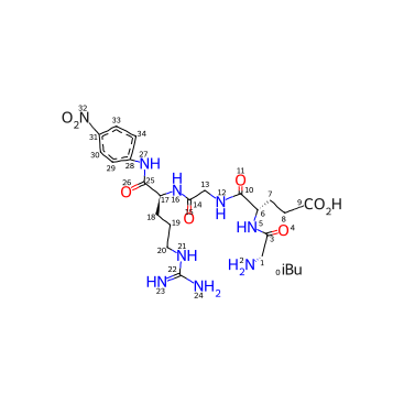 CC[C@H](C)[C@H](N)C(=O)N[C@@H](CCC(=O)O)C(=O)NCC(=O)N[C@@H](CCCNC(=N)N)C(=O)Nc1ccc([N+](=O)[O-])cc1